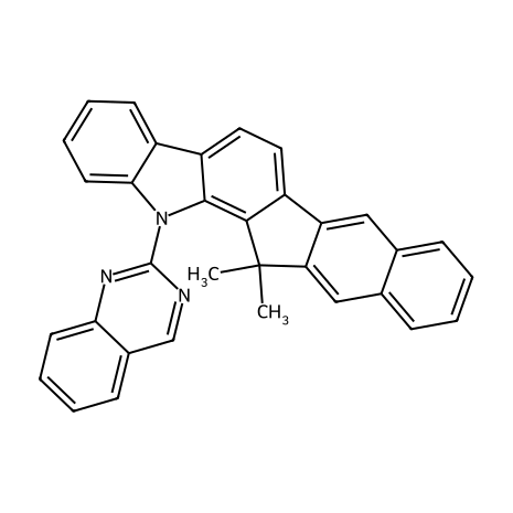 CC1(C)c2cc3ccccc3cc2-c2ccc3c4ccccc4n(-c4ncc5ccccc5n4)c3c21